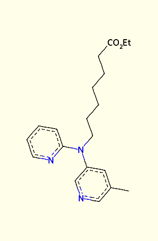 CCOC(=O)CCCCCCN(c1cncc(C)c1)c1ccccn1